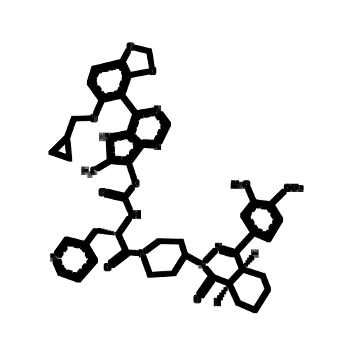 COc1ccc(C2=NN(C3CCN(C(=O)[C@H](Cc4cccnc4)NC(=O)Oc4c(C)[nH]c5c(-c6c(OCC7CC7)ccc7c6OCO7)ncnc45)CC3)C(=O)[C@@H]3CCCC[C@H]23)cc1OC